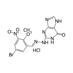 COc1c(C=NNc2nc3nc[nH]c3c(=O)[nH]2)cc(Br)cc1[N+](=O)[O-].Cl